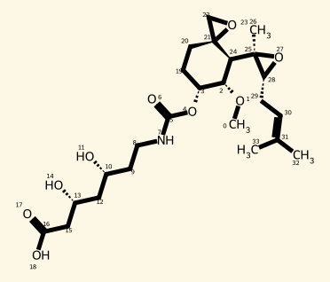 CO[C@@H]1[C@H](OC(=O)NCC[C@@H](O)C[C@@H](O)CC(=O)O)CC[C@]2(CO2)[C@H]1[C@@]1(C)O[C@@H]1CC=C(C)C